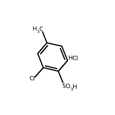 Cc1ccc(S(=O)(=O)O)c(Cl)c1.Cl